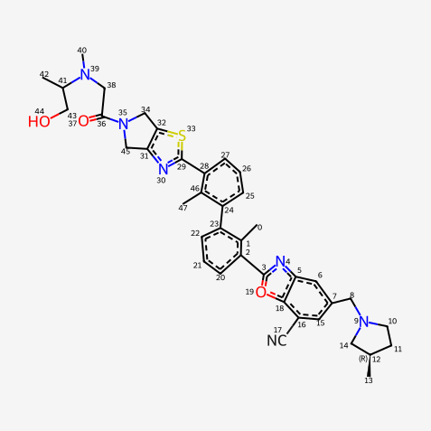 Cc1c(-c2nc3cc(CN4CC[C@@H](C)C4)cc(C#N)c3o2)cccc1-c1cccc(-c2nc3c(s2)CN(C(=O)CN(C)C(C)CO)C3)c1C